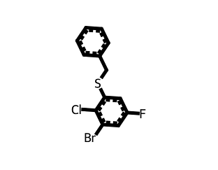 Fc1cc(Br)c(Cl)c(SCc2ccccc2)c1